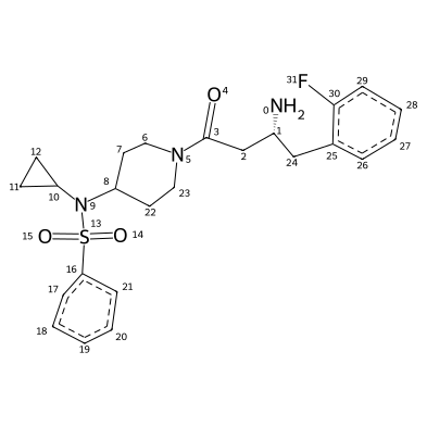 N[C@@H](CC(=O)N1CCC(N(C2CC2)S(=O)(=O)c2ccccc2)CC1)Cc1ccccc1F